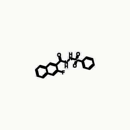 O=C(NNS(=O)(=O)c1ccccc1)c1cc2ccccc2cc1F